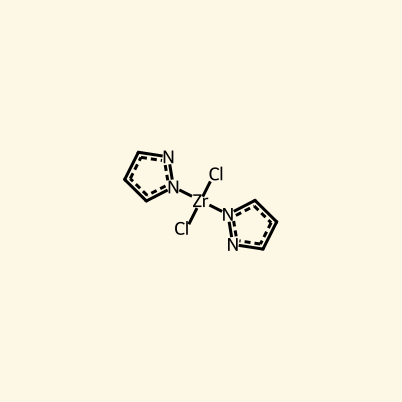 [Cl][Zr]([Cl])([n]1cccn1)[n]1cccn1